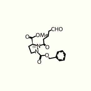 COC(=O)[C@@H]1CCN(C(=O)OCc2ccccc2)N1C(=O)CCCC=O